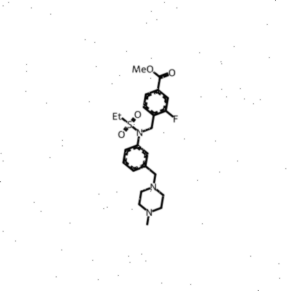 CCS(=O)(=O)N(Cc1ccc(C(=O)OC)cc1F)c1cccc(CN2CCN(C)CC2)c1